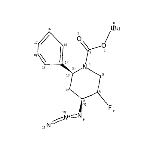 CC(C)(C)OC(=O)N1CC(F)[C@@H](N=[N+]=[N-])C[C@H]1c1ccccc1